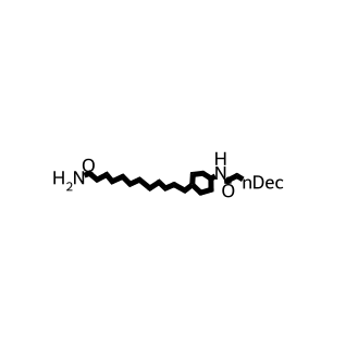 CCCCCCCCCCCC(=O)NC1CCC(CCCCCCCCCCCC(N)=O)CC1